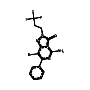 Nc1nc(-c2ccccc2)c(Br)c2nn(CCC(F)(F)F)c(=O)n12